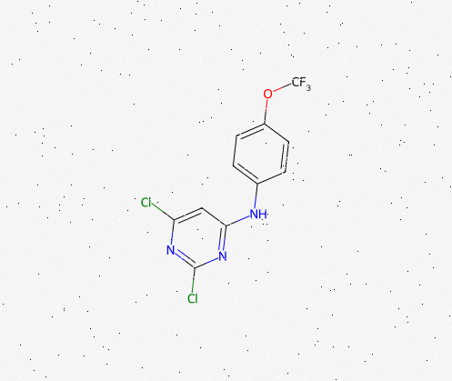 FC(F)(F)Oc1ccc(Nc2cc(Cl)nc(Cl)n2)cc1